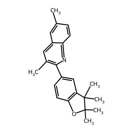 Cc1ccc2nc(-c3ccc4c(c3)C(C)(C)C(C)(C)O4)c(C)cc2c1